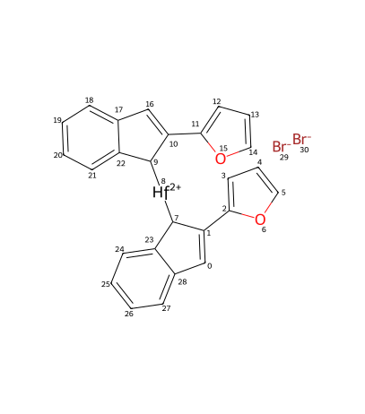 C1=C(c2ccco2)[CH]([Hf+2][CH]2C(c3ccco3)=Cc3ccccc32)c2ccccc21.[Br-].[Br-]